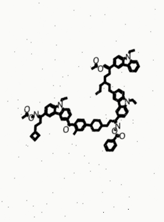 CCCC(CC/C(=C\OC(C)=O)c1ccc2c(c1)c1ccccc1n2CC)CCc1ccc2c(c1)c1cc(/C(CCC3CCC(c4ccc(C(=O)c5ccc6c(c5)c5cc(/C(CCC7CCC7)=N/OC(C)=O)ccc5n6CC)c(C)c4)CC3)=N/OC(=O)c3ccccc3)ccc1n2CC